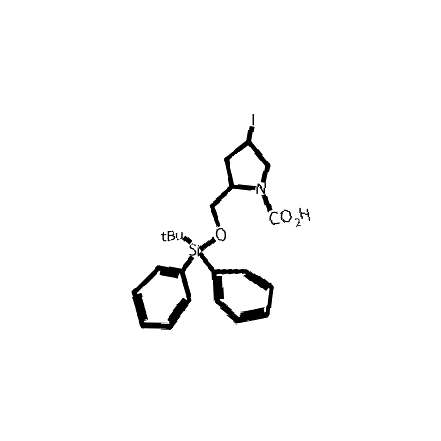 CC(C)(C)[Si](OCC1CC(I)CN1C(=O)O)(c1ccccc1)c1ccccc1